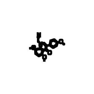 COc1ccc(-c2cn(CC#N)c3c(OC)ccc(OC)c3c2=O)cc1